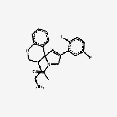 CC(=O)N1CC(c2cc(F)ccc2F)=CC12c1ccccc1OCC2CCN